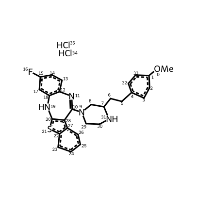 COc1ccc(CCC2CN(C3=Nc4ccc(F)cc4Nc4sc5ccccc5c43)CCN2)cc1.Cl.Cl